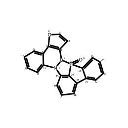 O=P12B3c4ccoc4-c4ccccc4N3c3cccc(c31)-c1ccccc12